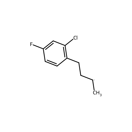 C[CH]CCc1ccc(F)cc1Cl